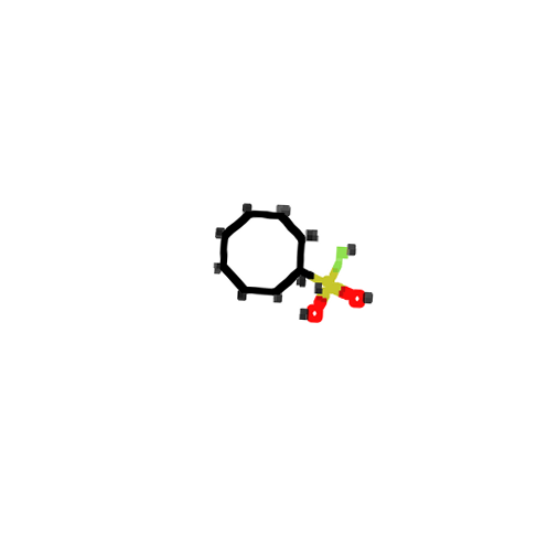 O=S(=O)(F)C1CCCCCCC1